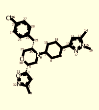 Cc1cc([C@H]2CN(C3CCC(c4cc(C)n(C)n4)CC3)[C@@H](Cc3ccc(Cl)cc3)CO2)on1